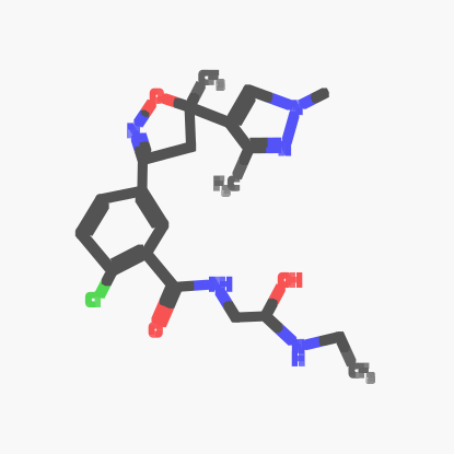 Cn1cc(C2(C(F)(F)F)CC(c3ccc(Cl)c(C(=O)NCC(O)NCC(F)(F)F)c3)=NO2)c(C(F)(F)F)n1